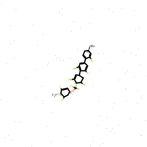 CCCC[C@H]1C=C(F)C(c2cc(F)c(C3C=C(F)[C@@H](C(F)(F)O[C@H]4C=C(F)[C@@H](C(F)(F)F)C(F)C4)C(F)C3)c(F)c2)=CC1